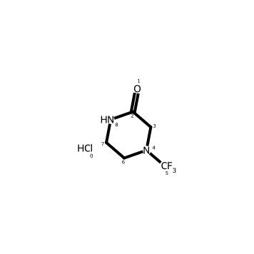 Cl.O=C1CN(C(F)(F)F)CCN1